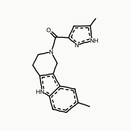 Cc1ccc2[nH]c3c(c2c1)CN(C(=O)c1cc(C)[nH]n1)CC3